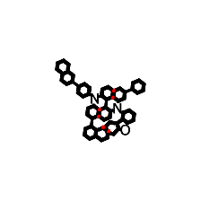 c1ccc(-c2cccc(N(c3ccccc3-c3ccccc3N(c3ccc(-c4ccc5ccccc5c4)cc3)c3ccc(-c4cccc5ccccc45)cc3)c3cccc4oc5ccccc5c34)c2)cc1